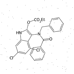 CCOC(=O)Oc1[nH]c2cc(Cl)cc(Cl)c2c1N(Cc1ccccc1)C(=O)c1ccccc1